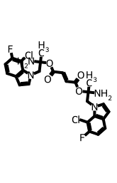 CC(N)(Cn1ccc2ccc(F)c(Cl)c21)OC(=O)/C=C/C(=O)OC(C)(N)Cn1ccc2ccc(F)c(Cl)c21